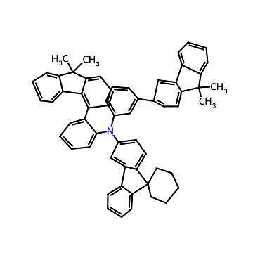 CC1(C)c2ccccc2-c2cc(-c3cccc(N(c4ccc5c(c4)-c4ccccc4C54CCCCC4)c4ccccc4-c4cccc5c4-c4ccccc4C5(C)C)c3)ccc21